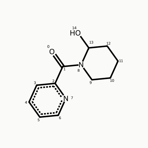 O=C(c1ccccn1)N1CCCC[C]1O